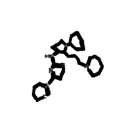 c1cc(N2CCCCCC2)nc(NC2CCN(C3CCCCC3)C2CCCN2CCCCCC2)n1